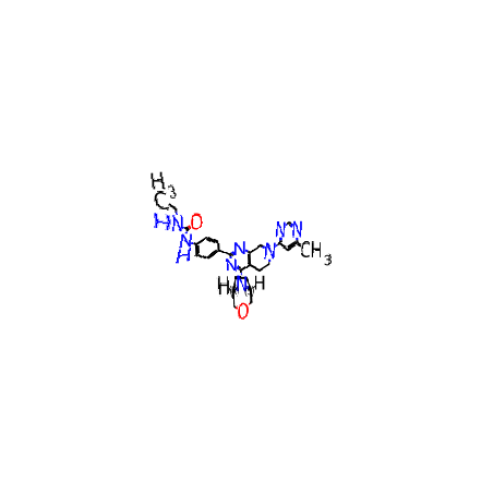 CCNC(=O)Nc1ccc(-c2nc3c(c(N4[C@@H]5CC[C@H]4COC5)n2)CCN(c2cc(C)ncn2)C3)cc1